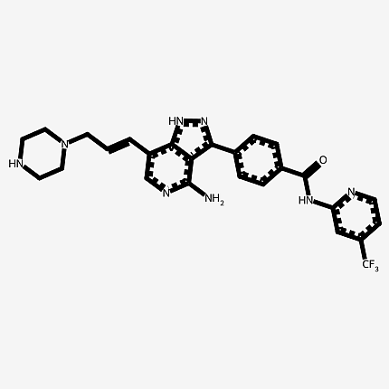 Nc1ncc(/C=C/CN2CCNCC2)c2[nH]nc(-c3ccc(C(=O)Nc4cc(C(F)(F)F)ccn4)cc3)c12